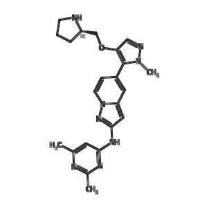 Cc1cc(Nc2cc3cc(-c4c(OC[C@H]5CCCN5)cnn4C)ccn3n2)nc(C)n1